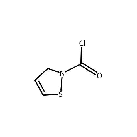 O=C(Cl)N1CC=CS1